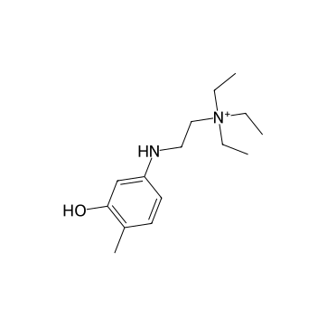 CC[N+](CC)(CC)CCNc1ccc(C)c(O)c1